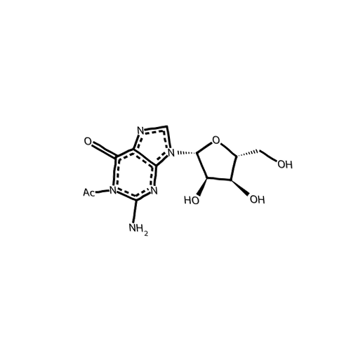 CC(=O)n1c(N)nc2c(ncn2[C@@H]2O[C@H](CO)[C@@H](O)[C@H]2O)c1=O